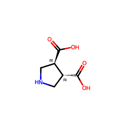 O=C(O)[C@@H]1CNC[C@H]1C(=O)O